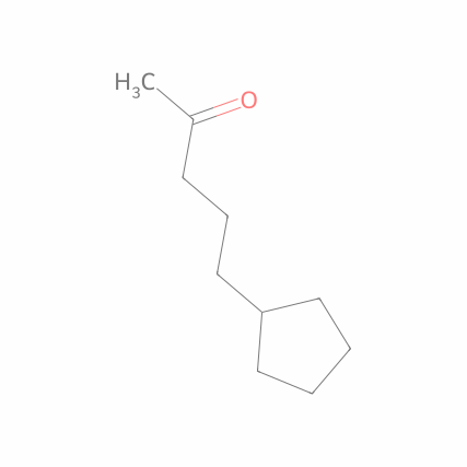 CC(=O)CCCC1CCCC1